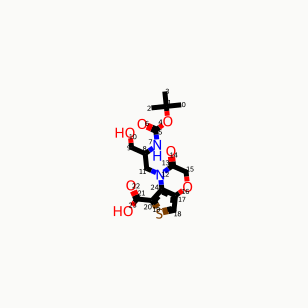 CC(C)(C)OC(=O)NC(CO)CN1C(=O)COc2csc(C(=O)O)c21